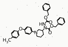 Cc1ccc(Oc2ccc(N3CCCC(N(NC(=O)OCc4ccccc4)C(=O)OCc4ccccc4)C3)cc2)cc1